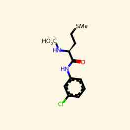 CSCC[C@H](NC(=O)O)C(=O)Nc1cccc(Cl)c1